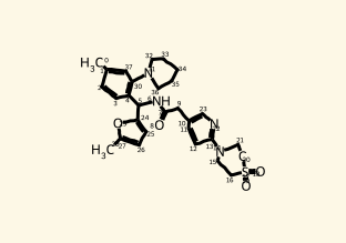 Cc1ccc(C(NC(=O)Cc2ccc(N3CCS(=O)(=O)CC3)nc2)c2ccc(C)o2)c(N2CCCCC2)c1